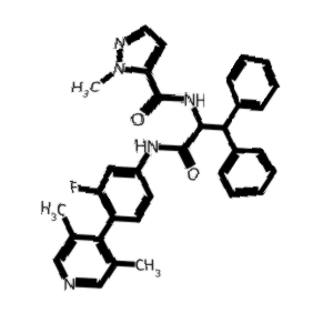 Cc1cncc(C)c1-c1ccc(NC(=O)C(NC(=O)c2ccnn2C)C(c2ccccc2)c2ccccc2)cc1F